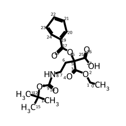 CCOC(=O)C(CCNC(=O)OC(C)(C)C)(OC(=O)c1ccccc1)C(=O)O